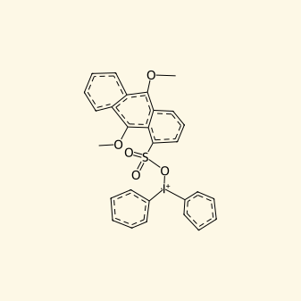 COc1c2ccccc2c(OC)c2c(S(=O)(=O)O[I+](c3ccccc3)c3ccccc3)cccc12